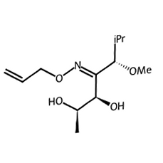 C=CCO/N=C(/[C@@H](OC)C(C)C)[C@@H](O)[C@@H](C)O